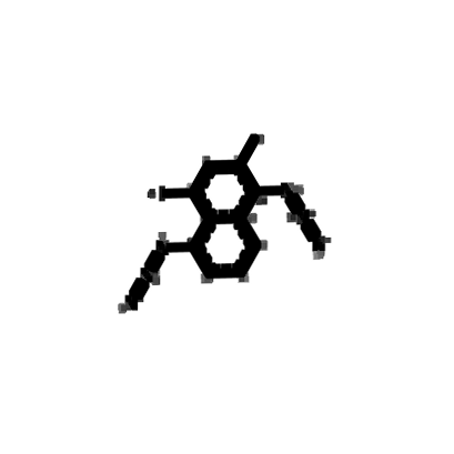 Cc1cc(I)c2c(N=[N+]=[N-])cccc2c1N=[N+]=[N-]